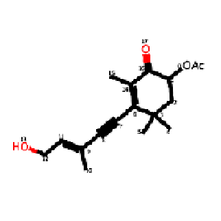 CC(=O)OC1CC(C)(C)C(C#C/C(C)=C/CO)=C(C)C1=O